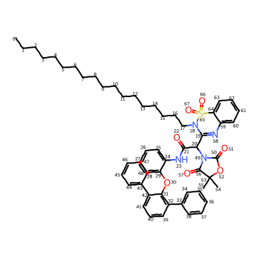 CCCCCCCCCCCCCCCCCCN1C(C(C(=O)Nc2ccccc2Oc2c(-c3ccccc3)cccc2-c2ccccc2)N2C(=O)OC(C)(C)C2=O)=Nc2ccccc2S1(=O)=O